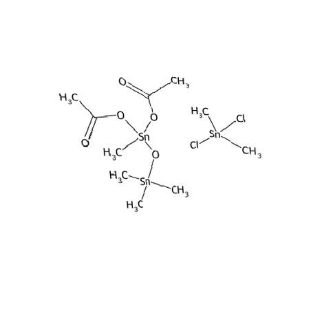 CC(=O)[O][Sn]([CH3])([O]C(C)=O)[O][Sn]([CH3])([CH3])[CH3].[CH3][Sn]([CH3])([Cl])[Cl]